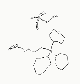 CC(=O)OCCCC[P+](C1CCCCC1)(C1CCCCC1)C1CCCCC1.CCCCCCCCOS(=O)(=O)[O-]